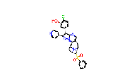 O=S(=O)(c1ccccc1)C1C2Cc3cnc4c(-c5ccc(Cl)c(O)c5)c(-c5ccncc5)nn4c3C3CC1N32